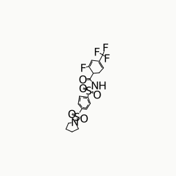 O=C(NS(=O)(=O)c1ccc(S(=O)(=O)N2CCCC2)cc1)C1CC=C(C(F)(F)F)C=C1F